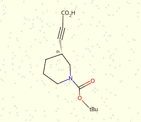 CC(C)(C)OC(=O)N1CCC[C@H](C#CC(=O)O)C1